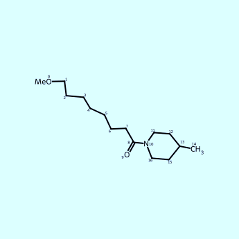 COCCCCCCCC(=O)N1CCC(C)CC1